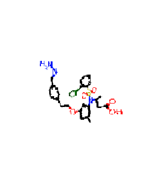 Cc1cc(OCCc2ccc(C=NN)cc2)cc(N(C(C)CC(=O)O)S(=O)(=O)c2ccccc2Cl)c1